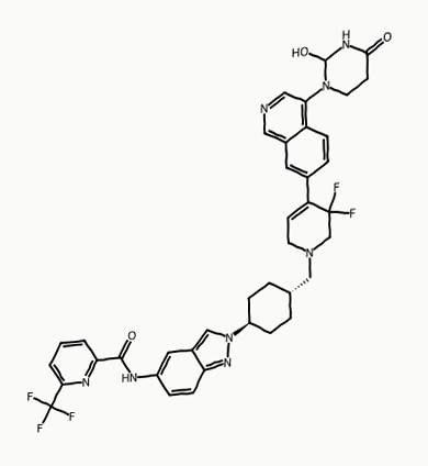 O=C1CCN(c2cncc3cc(C4=CCN(C[C@H]5CC[C@H](n6cc7cc(NC(=O)c8cccc(C(F)(F)F)n8)ccc7n6)CC5)CC4(F)F)ccc23)C(O)N1